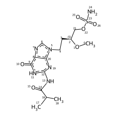 CO[C@@H](CCn1cnc2c(=O)[nH]c(NC(=O)C(C)C)nc21)COS(N)(=O)=O